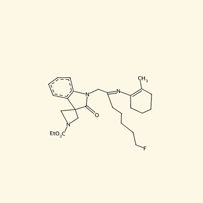 CCOC(=O)N1CC2(C1)C(=O)N(C/C(CCCCCF)=N/C1=C(C)CCCC1)c1ccccc12